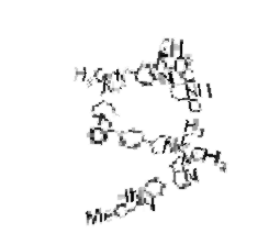 COCc1nc2cc(-c3ccnc4c3cc([C@H](C)N3CCC(c5ccc(C(=O)N6CCC(CN7CCN(Cc8ccc9c(c8)n(C)c(=O)n9C8CCC(=O)NC8=O)C[C@@H]7C)CC6)cc5)CC3)n4C)ccc2[nH]1